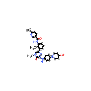 Cc1c(NC(=O)c2ccc(C(C)(C)C)nc2)cccc1-c1cn(C)c(=O)c(Nc2ccc(N3CCC(O)CC3)cc2)n1